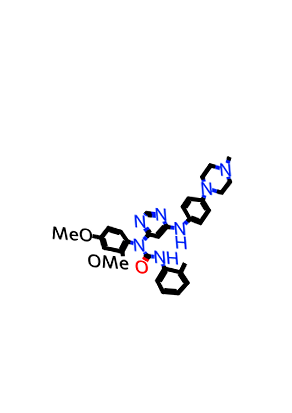 COc1ccc(N(C(=O)Nc2ccccc2C)c2cc(Nc3ccc(N4CCN(C)CC4)cc3)ncn2)c(OC)c1